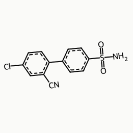 N#Cc1cc(Cl)ccc1-c1ccc(S(N)(=O)=O)cc1